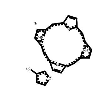 C1=Cc2cc3ccc(cc4nc(cc5ccc(cc1n2)[nH]5)C=C4)[nH]3.Cc1ccoc1.[Ni]